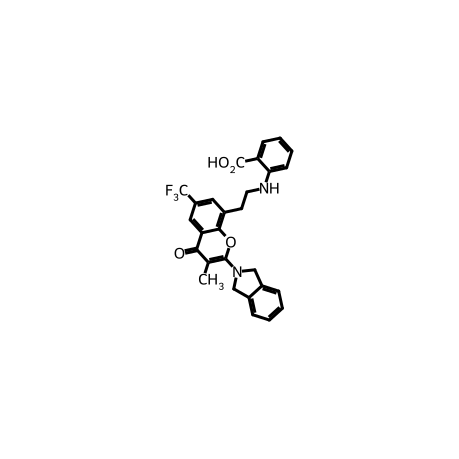 Cc1c(N2Cc3ccccc3C2)oc2c(CCNc3ccccc3C(=O)O)cc(C(F)(F)F)cc2c1=O